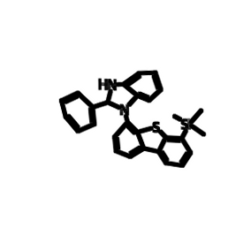 C[Si](C)(C)c1cccc2c1sc1c(N3c4ccccc4NC3c3ccccc3)cccc12